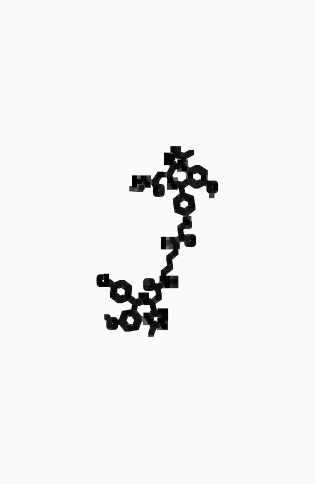 CCNC(=O)C[C@@H]1N=C(c2ccc(SCC(=O)NCCCCNC(=O)C[C@@H]3N=C(c4ccc(Cl)cc4)c4cc(OC)ccc4-n4c(C)nnc43)cc2)c2cc(OC)ccc2-n2c(C)nnc21